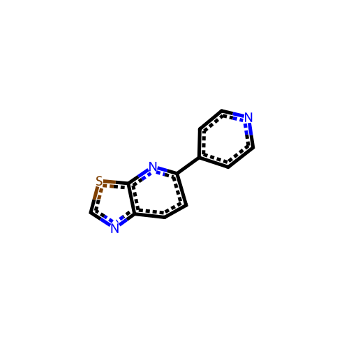 c1cc(-c2ccc3ncsc3n2)ccn1